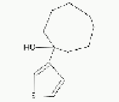 OC1(c2ccsc2)CCCCCCC1